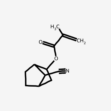 C=C(C)C(=O)OC1CC2CCC1C2C#N